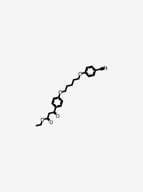 CCOC(=O)CC(=O)c1ccc(OCCCCCOc2ccc(C#N)cc2)cc1